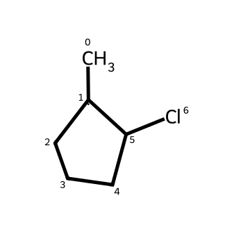 C[C]1CCCC1Cl